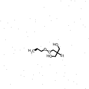 C=CCOOCC(CC)(CO)CO